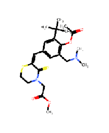 COC(=O)CN1CCS/C(=C/c2cc(CN(C)C)c(OC(C)=O)c(C(C)(C)C)c2)C1=S